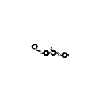 O=c1cc(COc2ccc(F)cc2)ccn1-c1ccc(OCCN2CCCCC2)cc1